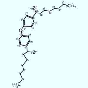 CCCCCCCC(Br)c1ccc(Oc2ccc(C(Br)CCCCCCC)cc2)cc1